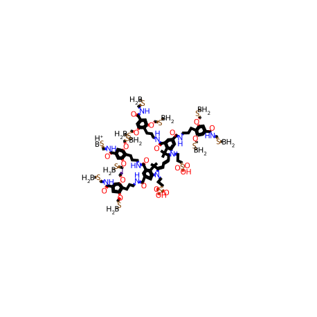 [BH+]SCNC(=O)c1cc(OCSB)c(CCCNC(=O)c2cc(C(=O)NCCCc3c(OCI)cc(C(=O)NCSB)cc3OCSB)cc3c2C(C)(C)/C(=C\C=C\C2=[N+](CCCS(=O)(=O)O)c4cc(C(=O)NCCCc5c(OCSB)cc(C(=O)NCSB)cc5OCSB)cc(C(=O)NCCCc5c(OCSB)cc(C(=O)NCSB)cc5OCSB)c4C2(C)C)N3CCCS(=O)(=O)O)c(OCSB)c1